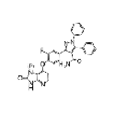 CC(C)n1c(=O)[nH]c2nccc(Oc3ccc(-c4nn(-c5ccccc5)c(-c5ccccc5)c4C(N)=O)cc3F)c21